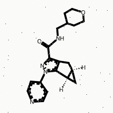 O=C(NCC1CCOCC1)c1nn(-c2ccncc2)c2c1C[C@H]1C[C@@H]21